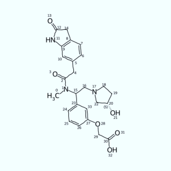 CN(C(=O)Cc1ccc2c(c1)NC(=O)C2)C(CN1CC[C@H](O)C1)c1cccc(OCC(=O)O)c1